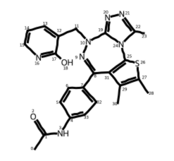 CC(=O)Nc1ccc(C2=NN(Cc3cccnc3O)c3nnc(C)n3-c3sc(C)c(C)c32)cc1